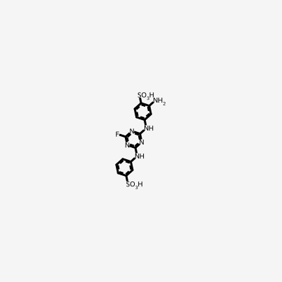 Nc1cc(Nc2nc(F)nc(Nc3cccc(S(=O)(=O)O)c3)n2)ccc1S(=O)(=O)O